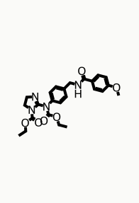 CCOC(=O)N1CCN=C1N(C(=O)OCC)c1ccc(CNC(=O)c2ccc(OC)cc2)cc1